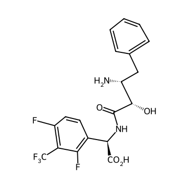 N[C@H](Cc1ccccc1)[C@H](O)C(=O)N[C@@H](C(=O)O)c1ccc(F)c(C(F)(F)F)c1F